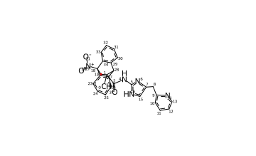 CC1(C(=O)Nc2nc(Cc3ccccn3)c[nH]2)CC2([N+](=O)[O-])c3ccccc3C1c1ccccc12